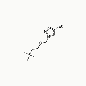 CCc1cnn(COCCS(C)(C)C)c1